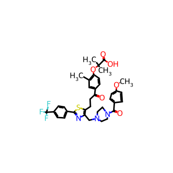 COc1ccc(C(=O)N2CCN(Cc3nc(-c4ccc(C(F)(F)F)cc4)sc3CCC(=O)c3ccc(OC(C)(C)C(=O)O)c(C)c3)CC2)cc1